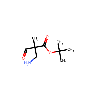 CC(C)(C)OC(=O)C(C)(C=O)CN